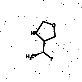 C[C@@H](F)C1COCN1